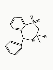 CC(C)C1(C)CS(=O)(=O)c2ccccc2C(c2ccccc2)N1